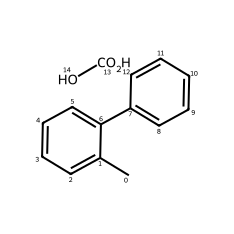 Cc1ccccc1-c1ccccc1.O=C(O)O